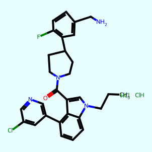 CCCn1cc(C(=O)N2CCC(c3cc(CN)ccc3F)CC2)c2c(-c3cncc(Cl)c3)cccc21.Cl.Cl